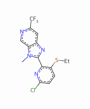 CCSc1ccc(Cl)nc1-c1nc2cc(C(F)(F)F)ncc2n1C